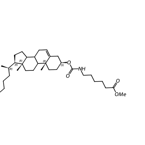 COC(=O)CCCCCNC(=O)O[C@H]1CC[C@@]2(C)C(=CCC3C2CC[C@@]2(C)C3CC[C@@H]2[C@H](C)CCCC(C)C)C1